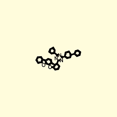 c1ccc(-c2ccc(-c3nc(-c4ccccc4)nc(-c4cccc5oc6c(ccc7c8ccccc8oc76)c45)n3)cc2)cc1